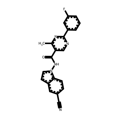 Cc1nc(-c2cccc(F)c2)ncc1C(=O)Nn1ccc2cc(C#N)ccc21